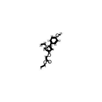 CCOC(=O)COc1cc(-c2ccc(OC)cc2)n(CC)n1